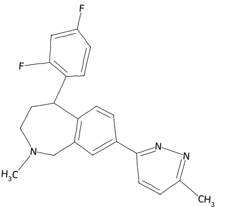 Cc1ccc(-c2ccc3c(c2)CN(C)CCC3c2ccc(F)cc2F)nn1